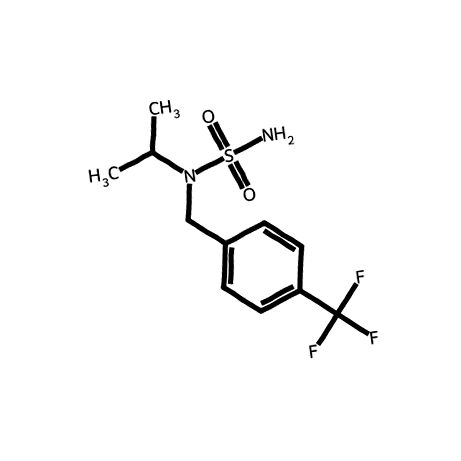 CC(C)N(Cc1ccc(C(F)(F)F)cc1)S(N)(=O)=O